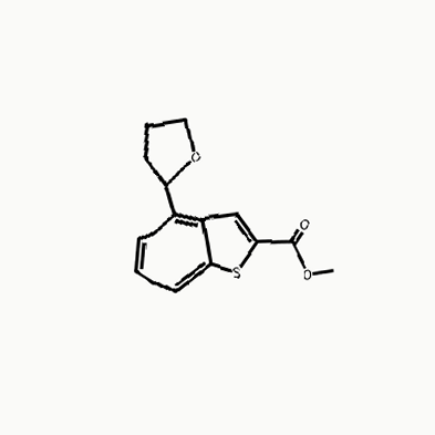 COC(=O)c1cc2c(C3CCCO3)cccc2s1